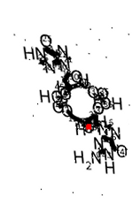 Nc1nc2c(ncn2[C@@H]2O[C@@H]3COP(=O)(O)O[C@H]4C[C@H](n5cnc6c(=O)[nH]cnc65)O[C@@H]4COP(=O)(O)O[C@@H]2[C@@H]3F)c(=O)[nH]1